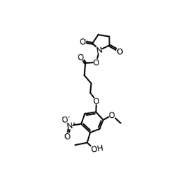 COc1cc(C(C)O)c([N+](=O)[O-])cc1OCCCC(=O)ON1C(=O)CCC1=O